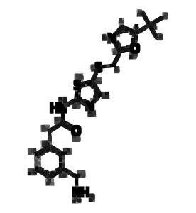 CC(C)(C)c1cnc(CSc2cnc(NC(=O)Cc3cccc(CN)c3)s2)o1